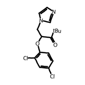 CC(C)(C)C(=O)C(Cn1ccnc1)Oc1ccc(Cl)cc1Cl